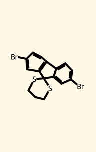 Brc1ccc2c(c1)C1(SCCCS1)c1cc(Br)ccc1-2